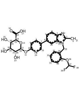 Cc1nc2ccc(-c3ccc(O[C@@H]4O[C@H](C(=O)O)[C@@H](O)[C@H](O)[C@H]4O)nc3)cc2n1Cc1ccccc1OC(F)F